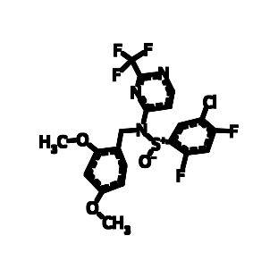 COc1ccc(CN(c2ccnc(C(F)(F)F)n2)[S+]([O-])c2cc(Cl)c(F)cc2F)c(OC)c1